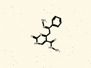 NN=C(Cc1nc(=O)[nH]cc1C(=O)NN)c1ccccc1